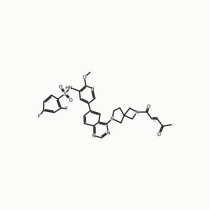 COc1ncc(-c2ccc3ncnc(N4CCC5(CN(C(=O)/C=C/C(C)=O)C5)C4)c3c2)cc1NS(=O)(=O)c1ccc(F)cc1F